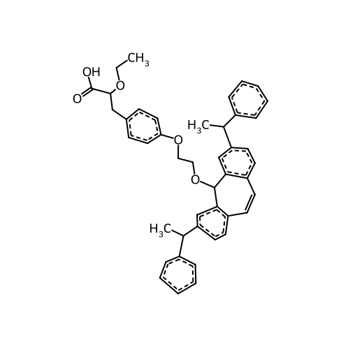 CCOC(Cc1ccc(OCCOC2c3cc(C(C)c4ccccc4)ccc3C=Cc3ccc(C(C)c4ccccc4)cc32)cc1)C(=O)O